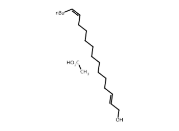 CC(=O)O.CCCC/C=C\CCCCCCCCC/C=C/CO